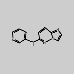 c1cnc(Nc2ccc3nccn3n2)cn1